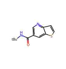 CC(C)(C)NC(=O)c1cnc2ccsc2c1